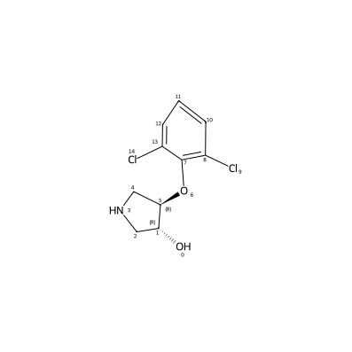 O[C@@H]1CNC[C@H]1Oc1c(Cl)cccc1Cl